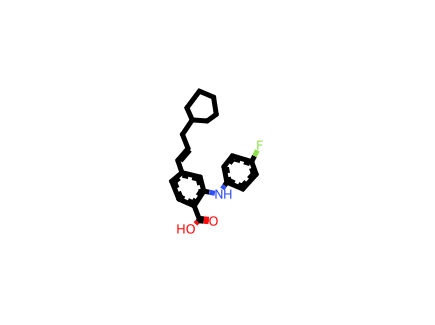 O=C(O)c1ccc(C=CCC2CCCCC2)cc1Nc1ccc(F)cc1